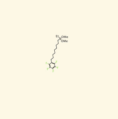 CC[Si](CCCCCCCCCc1c(F)c(F)c(F)c(F)c1F)(OC)OC